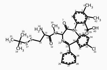 Cc1ccc(N2C(=O)C(N(C)C(=O)C(N)CSSC(C)(C)C)N=C(c3ccccc3)c3cc(Cl)ccc32)c(C(=O)O)c1C